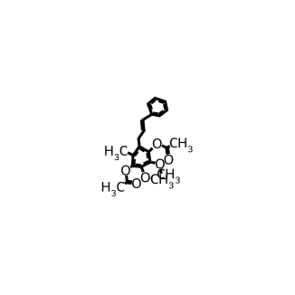 COc1c(OC(C)=O)c(C)c(CC=Cc2ccccc2)c(OC(C)=O)c1OC